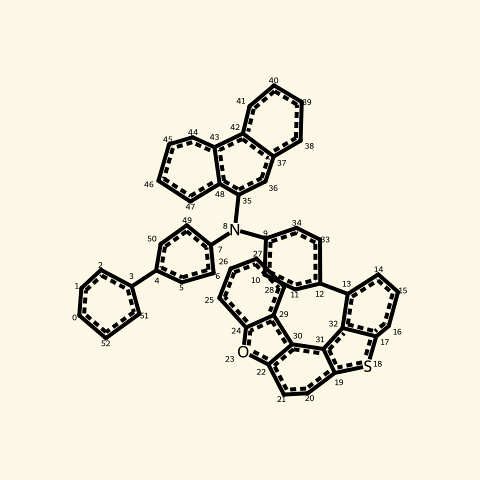 c1ccc(-c2ccc(N(c3ccc(-c4cccc5sc6ccc7oc8ccccc8c7c6c45)cc3)c3cc4ccccc4c4ccccc34)cc2)cc1